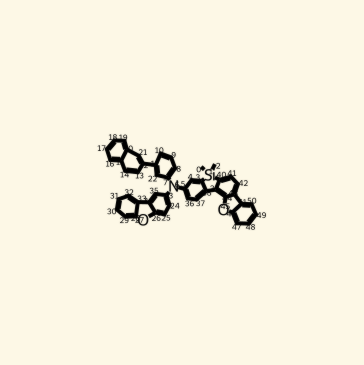 C[Si]1(C)c2cc(N(c3cccc(-c4ccc5ccccc5c4)c3)c3ccc4oc5ccccc5c4c3)ccc2-c2c1ccc1c2oc2ccccc21